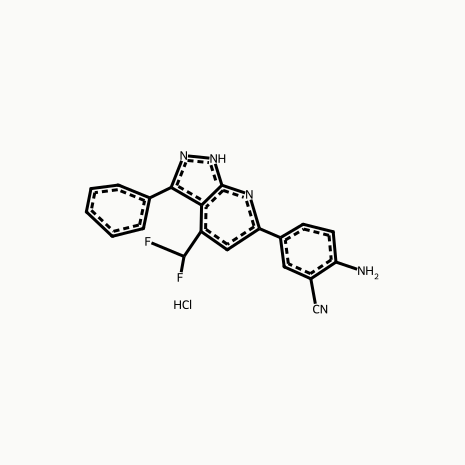 Cl.N#Cc1cc(-c2cc(C(F)F)c3c(-c4ccccc4)n[nH]c3n2)ccc1N